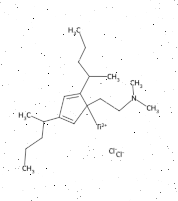 CCCC(C)C1=C[C]([Ti+2])(CCN(C)C)C(C(C)CCC)=C1.[Cl-].[Cl-]